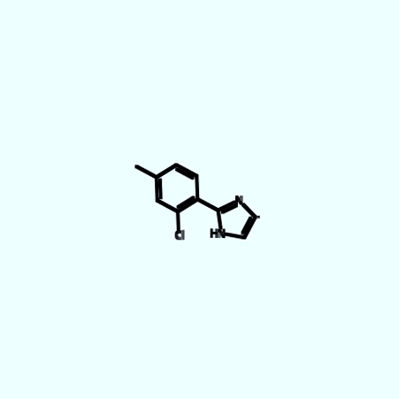 Cc1ccc(-c2n[c]c[nH]2)c(Cl)c1